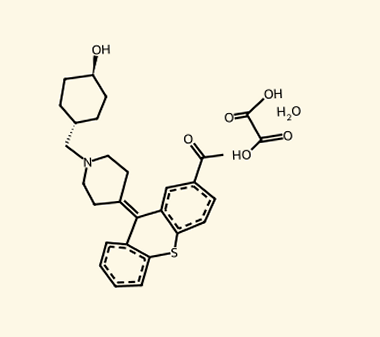 CC(=O)c1ccc2c(c1)C(=C1CCN(C[C@H]3CC[C@H](O)CC3)CC1)c1ccccc1S2.O.O=C(O)C(=O)O